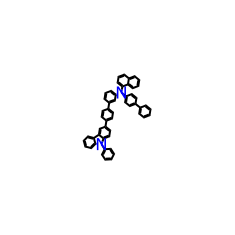 c1ccc(-c2ccc(N(c3cccc(-c4ccc(-c5ccc6c(c5)c5ccccc5n6-c5ccccc5)cc4)c3)c3cccc4ccccc34)cc2)cc1